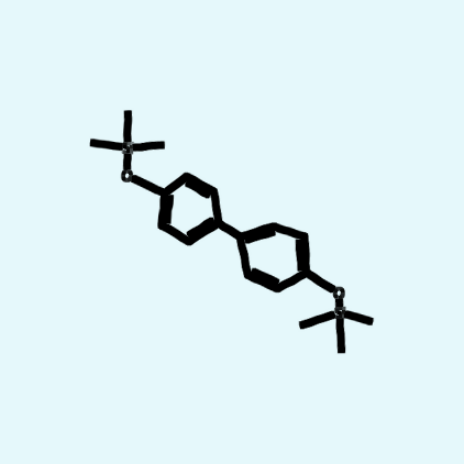 C[Si](C)(C)Oc1ccc(-c2ccc(O[Si](C)(C)C)cc2)cc1